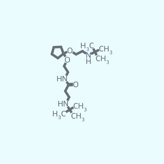 CC(C)(C)NCCOC1(OCCNC(=O)CCNC(C)(C)C)CCCC1